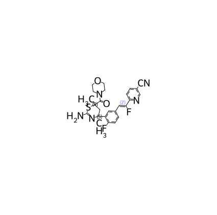 C[C@]1(C(=O)N2CCOCC2)C[C@@](C)(c2cc(/C=C(\F)c3ccc(C#N)cn3)ccc2F)N=C(N)S1